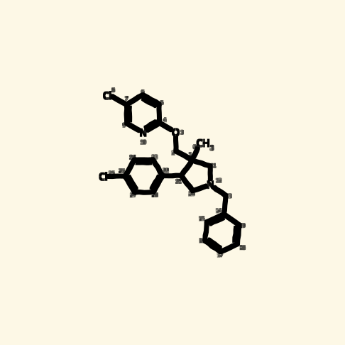 CC1(COc2ccc(Cl)cn2)CN(Cc2ccccc2)CC1c1ccc(Cl)cc1